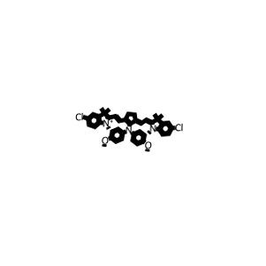 COc1ccc(N(C2=C(C=CC3=[N+](C)c4ccc(Cl)cc4C3(C)C)CCC2=CC=C2N(C)c3ccc(Cl)cc3C2(C)C)c2ccc(OC)cc2)cc1